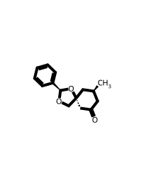 C[C@H]1CC(=O)C[C@@]2(CO[C@@H](c3ccccc3)O2)C1